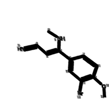 CN/C(=C\C=N)c1ccc(OC)c(Br)c1